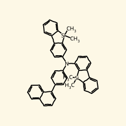 C[Si]1(C)c2ccccc2-c2ccc(N(c3ccc(-c4cccc5ccccc45)cc3)c3cccc4c3[Si](C)(C)c3ccccc3-4)cc21